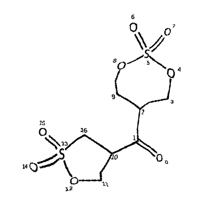 O=C(C1COS(=O)(=O)OC1)C1COS(=O)(=O)C1